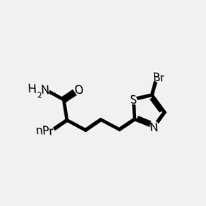 CCCC(CCCc1ncc(Br)s1)C(N)=O